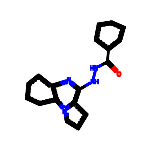 O=C(NNc1nc2ccccc2n2cccc12)c1ccccc1